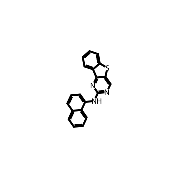 c1ccc2c(Nc3ncc4sc5ccccc5c4n3)cccc2c1